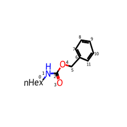 CCCCCCNC(=O)OCc1ccccc1